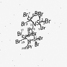 CC(C)N([Si](Br)(Br)Br)[Si](Br)(Br)Br.CCCN([Si](Br)(Br)Br)[Si](Br)(Br)Br